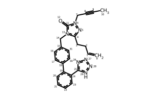 C=CCCc1nn(CC#CC)c(=O)n1Cc1ccc(-c2ccccc2-c2nnn[nH]2)cc1